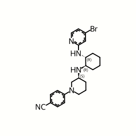 N#Cc1ccc(N2CCC[C@H](N[C@@H]3CCCC[C@H]3Nc3cc(Br)ccn3)C2)cc1